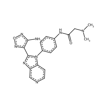 CN(C)CC(=O)Nc1ccc(-n2c(-c3nonc3N)nc3cnccc32)cc1